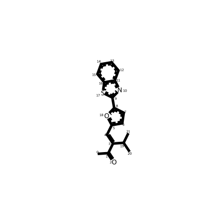 CC(=O)/C(=C/c1ccc(-c2nc3ccccc3s2)o1)C(C)C